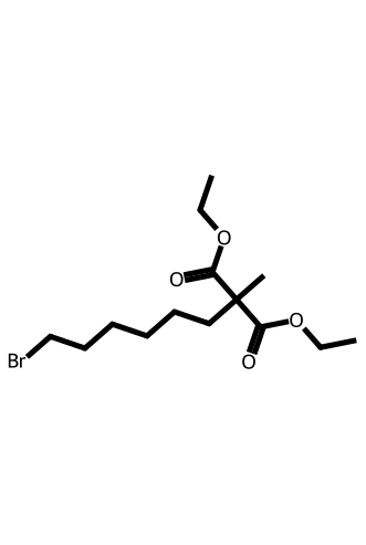 CCOC(=O)C(C)(CCCCCCBr)C(=O)OCC